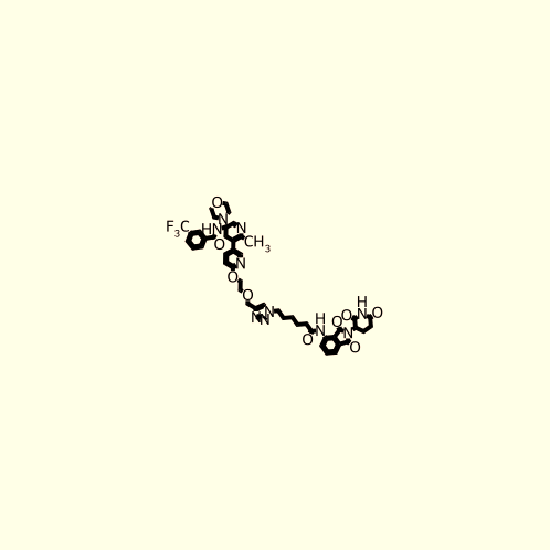 CC1=C(c2ccc(OCCOCc3cn(CCCCCC(=O)Nc4cccc5c4C(=O)N(C4CCC(=O)NC4=O)C5=O)nn3)nc2)CC(NC(=O)c2cccc(C(F)(F)F)c2)(N2CCOCC2)C=N1